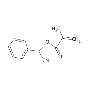 C=C(C)C(=O)OC(C#N)c1ccccc1